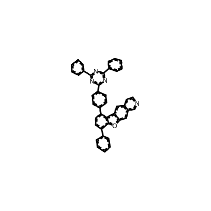 c1ccc(-c2nc(-c3ccccc3)nc(-c3ccc(-c4ccc(-c5ccccc5)c5oc6cc7cnccc7cc6c45)cc3)n2)cc1